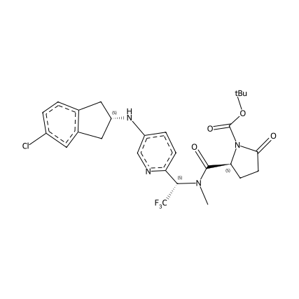 CN(C(=O)[C@@H]1CCC(=O)N1C(=O)OC(C)(C)C)[C@@H](c1ccc(N[C@H]2Cc3ccc(Cl)cc3C2)cn1)C(F)(F)F